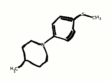 CSc1ccc(N2CCC(C)CC2)cc1